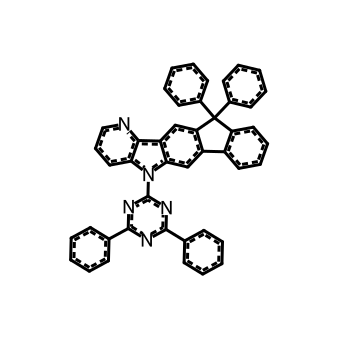 c1ccc(-c2nc(-c3ccccc3)nc(-n3c4cc5c(cc4c4ncccc43)C(c3ccccc3)(c3ccccc3)c3ccccc3-5)n2)cc1